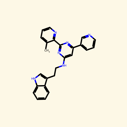 Cc1cccnc1-c1nc(NCCc2c[nH]c3ccccc23)cc(-c2cccnc2)n1